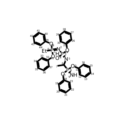 CCP(=NP(O)(=NC(C)P(=N)(Oc1ccccc1)Oc1ccccc1)Oc1ccccc1)(Oc1ccccc1)Oc1ccccc1